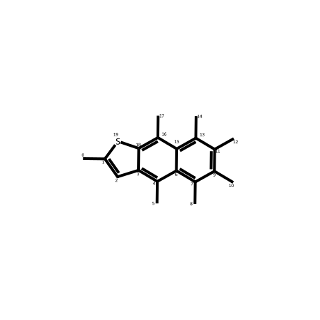 Cc1cc2c(C)c3c(C)c(C)c(C)c(C)c3c(C)c2s1